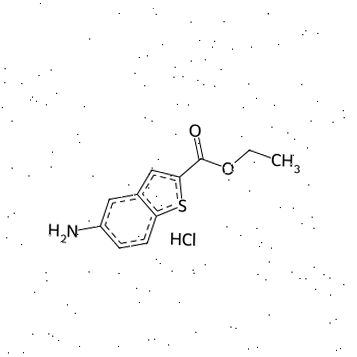 CCOC(=O)c1cc2cc(N)ccc2s1.Cl